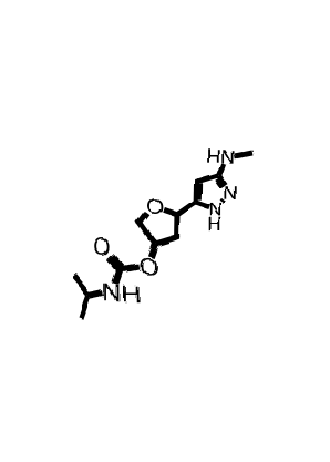 CNc1cc(C2CC(OC(=O)NC(C)C)CO2)[nH]n1